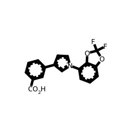 O=C(O)c1cccc(-c2ccn(-c3cccc4c3OC(F)(F)O4)c2)c1